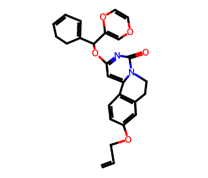 C=CCOc1ccc2c(c1)CCn1c-2cc(OC(C2=CC=CCC2)C2=COC=CO2)nc1=O